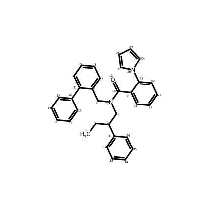 CCC(CN(Cc1ccccc1-c1ccccc1)C(=O)c1ccccc1-n1cccc1)c1ccccc1